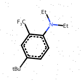 CCN(CC)c1ccc(C(C)(C)C)cc1C(F)(F)F